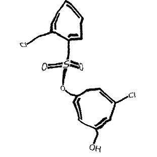 O=S(=O)(Oc1cc(O)cc(Cl)c1)c1ccccc1Cl